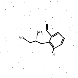 C=Cc1cccc(C(C)C)c1C[C@@H](N)CO